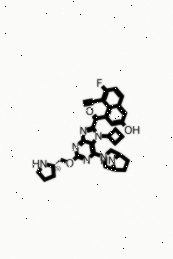 C#Cc1c(F)ccc2cc(O)cc(C(=O)c3nc4nc(OC[C@@H]5CCCN5)nc(N5CC6CCC(C5)N6)c4n3C3CCC3)c12